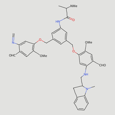 C=Nc1cc(OCc2cc(COc3cc(NCC4Cc5ccccc5N4C)c(C=O)cc3OC)cc(NC(=O)C(C)NC)c2)c(OC)cc1C=O